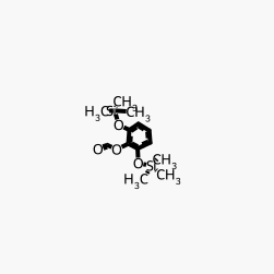 C[Si](C)(C)Oc1cccc(O[Si](C)(C)C)c1OC=O